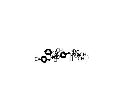 CCC1(Oc2ccc(CNC(=O)OC(C)(C)C)cc2)Oc2ccccc2N(Cc2ccc(Cl)cc2)C1=O